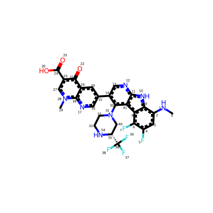 CNc1cc(F)c(F)c2c1[nH]c1ncc(-c3cnc4c(c3)c(=O)c(C(=O)O)cn4C)c(N3CCN[C@@H](C(F)(F)F)C3)c12